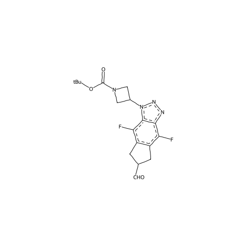 CC(C)(C)OC(=O)N1CC(n2nnc3c(F)c4c(c(F)c32)CC(C=O)C4)C1